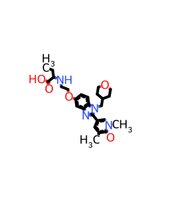 CCC(NCCOc1ccc2c(c1)nc(-c1cc(C)c(=O)n(C)c1)n2CC1CCOCC1)C(=O)O